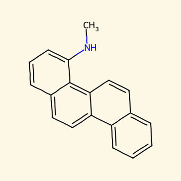 CNc1cccc2ccc3c4ccccc4ccc3c12